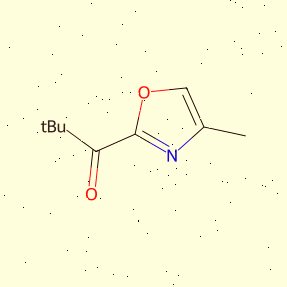 Cc1coc(C(=O)C(C)(C)C)n1